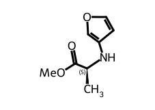 COC(=O)[C@H](C)Nc1ccoc1